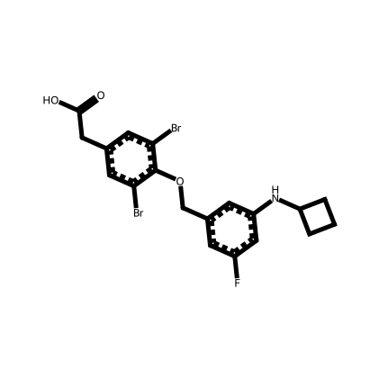 O=C(O)Cc1cc(Br)c(OCc2cc(F)cc(NC3CCC3)c2)c(Br)c1